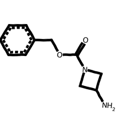 NC1CN(C(=O)OCc2ccccc2)C1